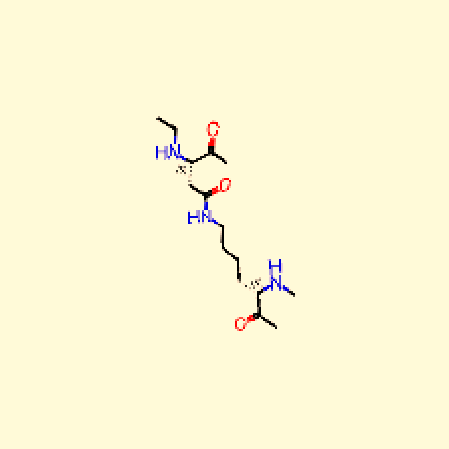 CCN[C@@H](CC(=O)NCCCC[C@H](NC)C(C)=O)C(C)=O